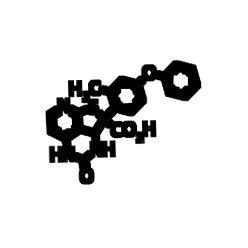 Cc1cc(Oc2ccccc2)ccc1C1(C(=O)O)Sc2nccc3c2C1NC(=O)N3